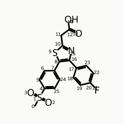 CS(=O)(=O)c1ccc(-c2sc(CC(=O)O)nc2-c2ccc(F)cc2)cc1